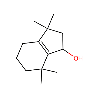 CC1(C)CC(O)C2=C1CCCC2(C)C